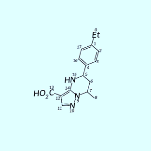 CCc1ccc(C2CC(C)n3ncc(C(=O)O)c3N2)cc1